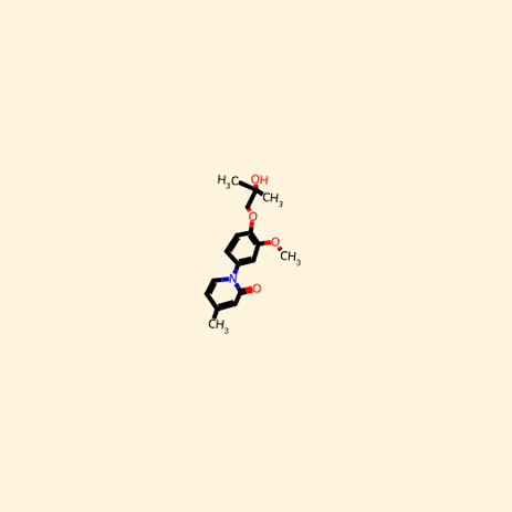 COc1cc(-n2ccc(C)cc2=O)ccc1OCC(C)(C)O